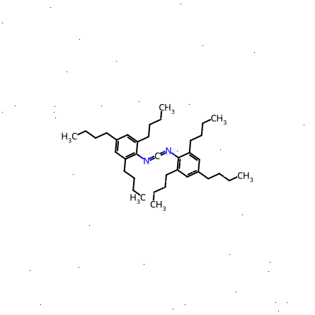 CCCCc1cc(CCCC)c(N=C=Nc2c(CCCC)cc(CCCC)cc2CCCC)c(CCCC)c1